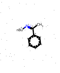 CCCC/N=C(/C)c1ccccc1